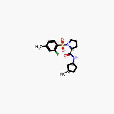 Cc1ccc(S(=O)(=O)N2CCC[C@H]2C(=O)N[C@H]2CC[C@@H](C#N)C2)c(F)c1